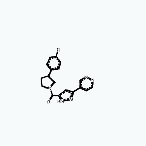 O=C(c1cc(-c2ccnnc2)n[nH]1)N1CCC(c2ccc(Cl)cc2)C1